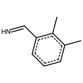 Cc1cccc(C=N)c1C